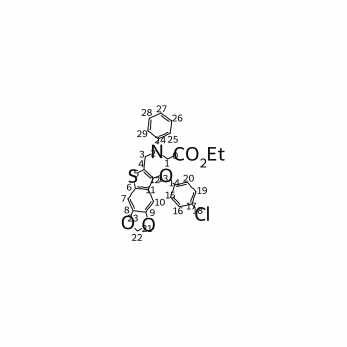 CCOC(=O)CN(Cc1sc2cc3c(cc2c1Oc1ccc(Cl)cc1)OCO3)c1ccccc1